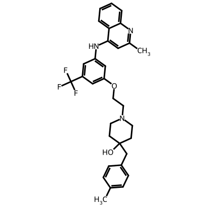 Cc1ccc(CC2(O)CCN(CCOc3cc(Nc4cc(C)nc5ccccc45)cc(C(F)(F)F)c3)CC2)cc1